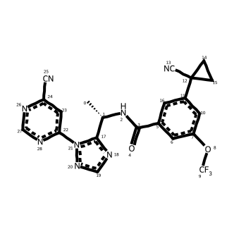 C[C@H](NC(=O)c1cc(OC(F)(F)F)cc(C2(C#N)CC2)c1)c1ncnn1-c1cc(C#N)ncn1